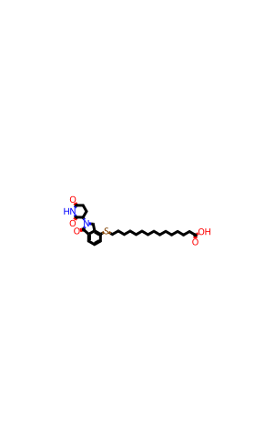 O=C(O)CCCCCCCCCCCCCCSc1cccc2c1CN(C1CCC(=O)NC1=O)C2=O